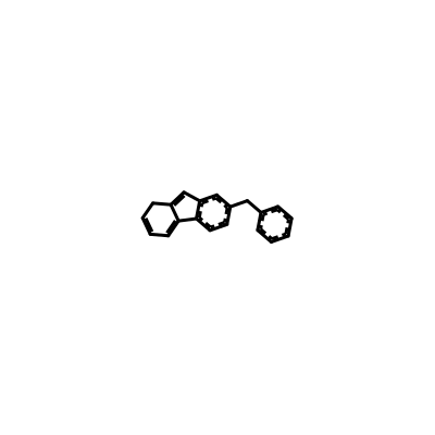 C1=CCC2=Cc3cc(Cc4ccccc4)ccc3C2=C1